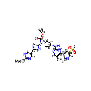 COc1ncc(-c2cnc(N(C(=O)OC3CC3)[C@H]3CC[C@H](Nc4ncc(C(F)(F)F)c(-c5cncc(S(C)(=O)=O)c5)n4)CC3)cn2)cn1